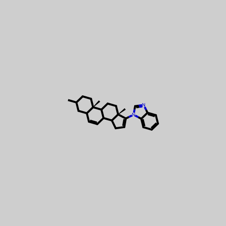 CC1CC[C@@]2(C)C(C=CC3C2CC[C@]2(C)C(n4cnc5ccccc54)=CCC32)C1